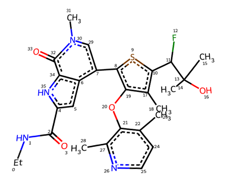 CCNC(=O)c1cc2c(-c3sc(C(F)C(C)(C)O)c(C)c3Oc3c(C)ccnc3C)cn(C)c(=O)c2[nH]1